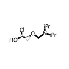 CC(C)N(COOP(O)Cl)C(C)C